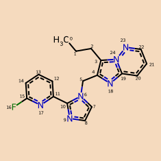 CCCc1c(Cn2ccnc2-c2cccc(F)n2)nc2cccnn12